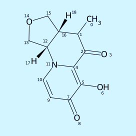 CC1C(=O)c2c(O)c(=O)ccn2[C@@H]2COC[C@H]12